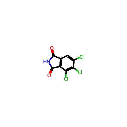 O=C1NC(=O)c2c1cc(Cl)c(Cl)c2Cl